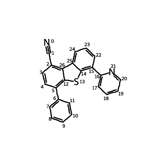 N#Cc1ccc(-c2ccccc2)c2sc3c(-c4ccccn4)cccc3c12